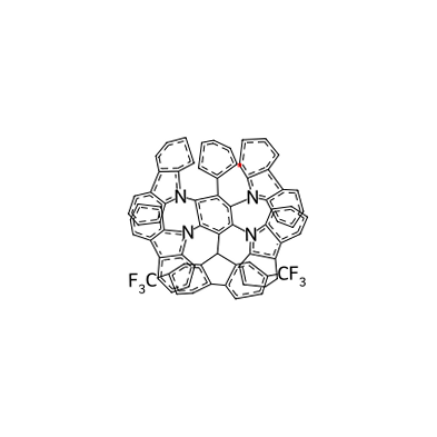 FC(F)(F)c1ccc2c(c1)C(c1c(-n3c4c(c5ccccc53)CCC=C4)c(-n3c4ccccc4c4ccccc43)c(-c3ccccc3)c(-n3c4ccccc4c4ccccc43)c1-n1c3ccccc3c3ccccc31)c1cc(C(F)(F)F)ccc1-2